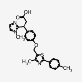 Cc1ccc(-c2nc(C)c(COc3ccc([C@H](CC(=O)O)c4nccn4C)cc3)s2)cc1